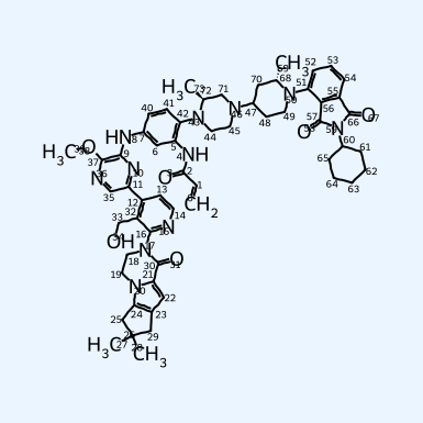 C=CC(=O)Nc1cc(Nc2nc(-c3ccnc(N4CCn5c(cc6c5CC(C)(C)C6)C4=O)c3CO)cnc2OC)ccc1N1CCN(C2CCN(c3cccc4c3C(=O)N(C3CCCCC3)C4=O)[C@@H](C)C2)C[C@@H]1C